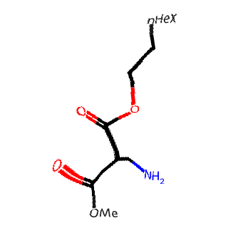 CCCCCCCCOC(=O)C(N)C(=O)OC